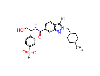 CCc1c2ccc(C(=O)NC(CO)c3ccc(S(=O)(=O)CC)cc3)cc2nn1CC1CCC(C(F)(F)F)CC1